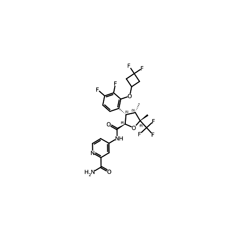 C[C@H]1[C@@H](c2ccc(F)c(F)c2OC2CC(F)(F)C2)[C@H](C(=O)Nc2ccnc(C(N)=O)c2)O[C@@]1(C)C(F)(F)F